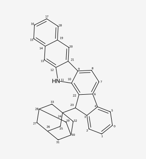 c1ccc2c(c1)-c1ccc3c([nH]c4cc5ccccc5cc43)c1C2C12CC3CC(CC(C3)C1)C2